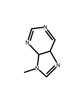 CN1C=NC2C=NC=NC21